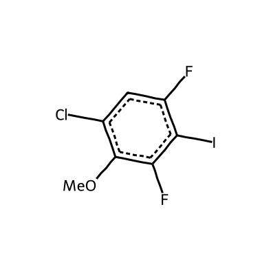 COc1c(Cl)cc(F)c(I)c1F